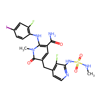 CNS(=O)(=O)Nc1nccc(Cc2cc(C(N)=O)c(Nc3ccc(I)cc3F)n(C)c2=O)c1F